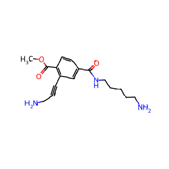 COC(=O)c1ccc(C(=O)NCCCCCN)cc1C#CCN